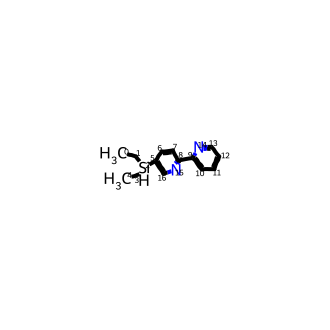 CC[SiH](CC)c1ccc(-c2ccccn2)nc1